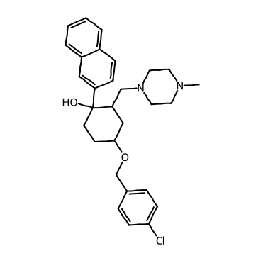 CN1CCN(CC2CC(OCc3ccc(Cl)cc3)CCC2(O)c2ccc3ccccc3c2)CC1